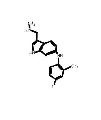 CNCc1c[nH]c2cc(Nc3ccc(F)cc3C)ccc12